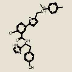 Cc1ccc([C@H](C)NCc2ccc(-c3ccc(Cl)c(C(=O)NC(Cc4ccc(C#N)cc4)c4ncc[nH]4)c3)o2)cc1